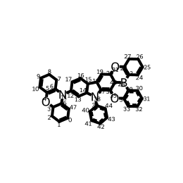 C1=CCC2OC3=C(CCC=C3)N(C3=CC4C(C=C3)C3=CC5OC6=C(C=CCC6)B6c7ccccc7OC(=C3N4c3ccccc3)C65)C2=C1